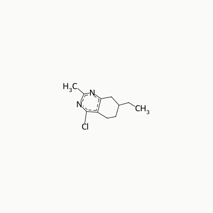 CCC1CCc2c(Cl)nc(C)nc2C1